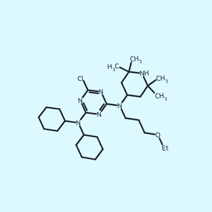 CCOCCCN(c1nc(Cl)nc(N(C2CCCCC2)C2CCCCC2)n1)C1CC(C)(C)NC(C)(C)C1